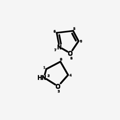 C1CNOC1.c1cnoc1